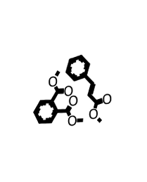 COC(=O)C=Cc1ccccc1.COC(=O)c1ccccc1C(=O)OC